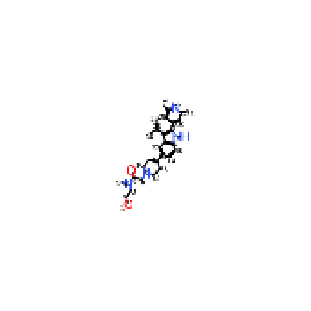 COCCN(C)C(=O)CN1CCC(c2ccc3[nH]c(-c4cc(C)nc(C)c4)c(C(C)C)c3c2)CC1